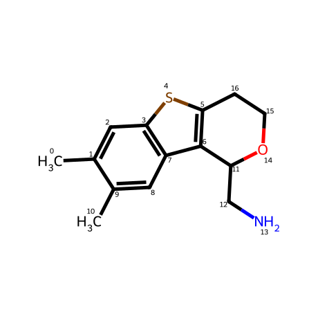 Cc1cc2sc3c(c2cc1C)C(CN)OCC3